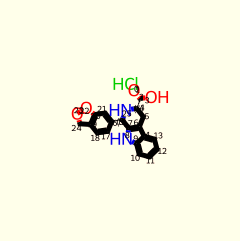 Cl.O=C(O)[C@@H]1Cc2c([nH]c3ccccc23)[C@H](c2ccc3c(c2)OOC3)N1